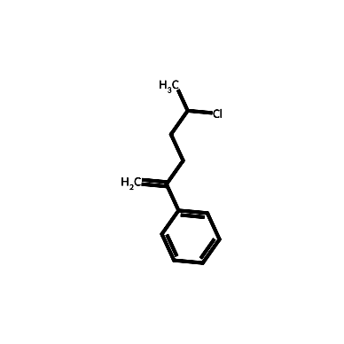 C=C(CCC(C)Cl)c1ccccc1